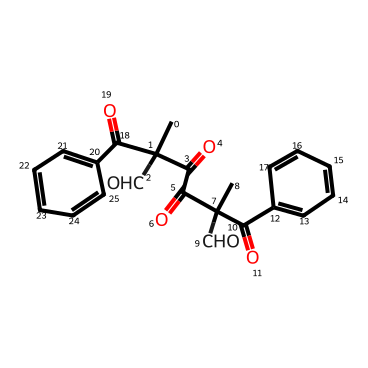 CC(C=O)(C(=O)C(=O)C(C)(C=O)C(=O)c1ccccc1)C(=O)c1ccccc1